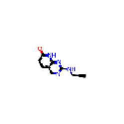 C#CCNc1ncc2ccc(=O)[nH]c2n1